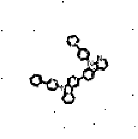 c1ccc(-c2ccc(-n3c4ccccc4c4cc(-c5ccc6c7cccnc7n(-c7ccc(-c8ccccc8)cc7)c6c5)ccc43)cc2)cc1